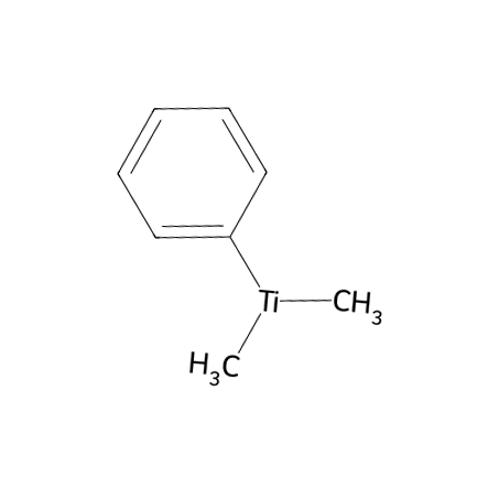 [CH3][Ti]([CH3])[c]1ccccc1